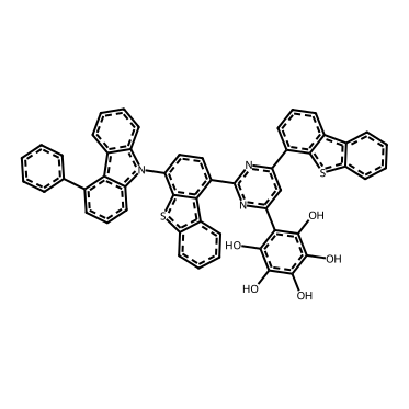 Oc1c(O)c(O)c(-c2cc(-c3cccc4c3sc3ccccc34)nc(-c3ccc(-n4c5ccccc5c5c(-c6ccccc6)cccc54)c4sc5ccccc5c34)n2)c(O)c1O